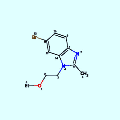 CCOCCn1c(C)nc2ccc(Br)cc21